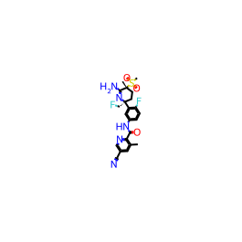 Cc1cc(C#N)cnc1C(=O)Nc1ccc(F)c([C@]2(CF)CC[C@@](C)(S(C)(=O)=O)C(N)=N2)c1